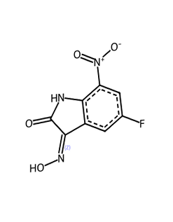 O=C1Nc2c(cc(F)cc2[N+](=O)[O-])/C1=N/O